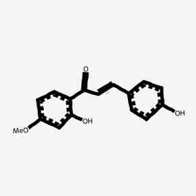 COc1ccc(C(=O)/C=C/c2ccc(O)cc2)c(O)c1